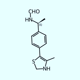 CC1=C(c2ccc([C@H](C)NC=O)cc2)SCN1